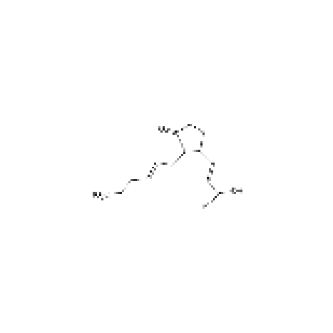 CCCC(O)C=CC1CCC(=O)C1CC=CCCC(=O)O